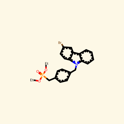 CCOP(=O)(Cc1ccc(Cn2c3ccccc3c3cc(Br)ccc32)cc1)OCC